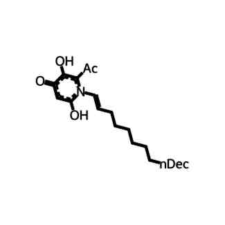 CCCCCCCCCCCCCCCCC=Cn1c(O)cc(=O)c(O)c1C(C)=O